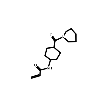 C=CC(=O)NC1CCC(C(=O)N2CCCCC2)CC1